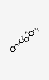 Nc1ccc(N2CCC(O)(CC(=O)OCc3ccccc3)C2)c(F)c1